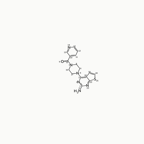 Nc1nc(N2CCN(C(=O)c3cccnc3)CC2)c2ccsc2n1